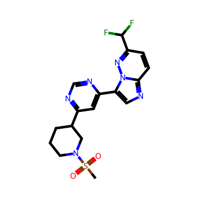 CS(=O)(=O)N1CCCC(c2cc(-c3cnc4ccc(C(F)F)nn34)ncn2)C1